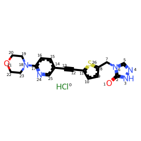 Cl.O=c1[nH]ncn1Cc1ccc(C#Cc2ccc(N3CCOCC3)nc2)s1